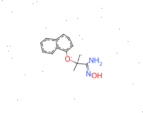 CC(C)(Oc1cccc2ccccc12)C(N)=NO